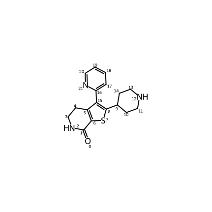 O=C1NCCc2c1sc(C1CCNCC1)c2-c1ccccn1